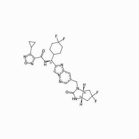 O=C(N[C@H](c1cn2ncc(CN3C(=O)N[C@H]4CC(F)(F)C[C@H]43)cc2n1)C1CCC(F)(F)CC1)c1nonc1C1CC1